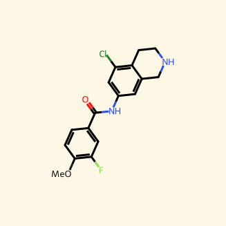 COc1ccc(C(=O)Nc2cc(Cl)c3c(c2)CNCC3)cc1F